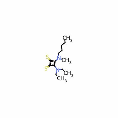 CCCCCN(C)c1c(N(CC)CC)c(=S)c1=S